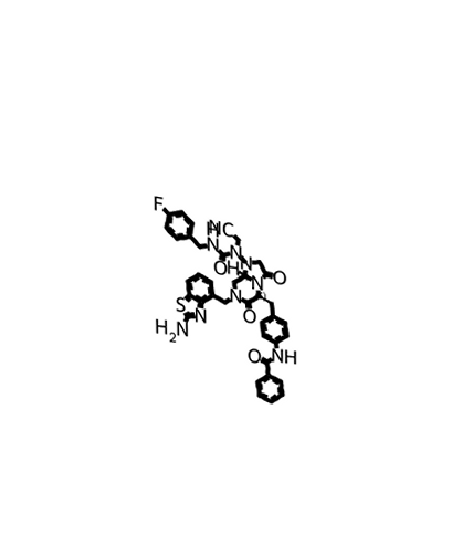 N#CCN(C(=O)NCc1ccc(F)cc1)N1CC(=O)N2[C@@H](Cc3ccc(NC(=O)c4ccccc4)cc3)C(=O)N(Cc3cccc4sc(N)nc34)C[C@@H]21